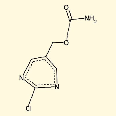 NC(=O)OCc1cnc(Cl)nc1